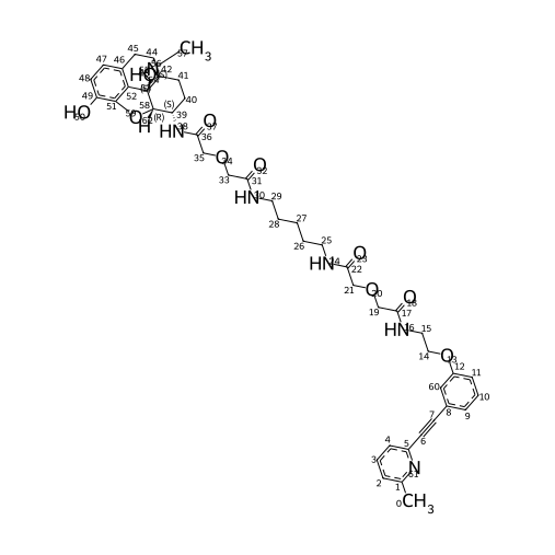 Cc1cccc(C#Cc2cccc(OCCNC(=O)COCC(=O)NCCCCCNC(=O)COCC(=O)N[C@H]3CC[C@@]4(O)C5Cc6ccc(O)c7c6[C@@]4(CCN5C)[C@H]3O7)c2)n1